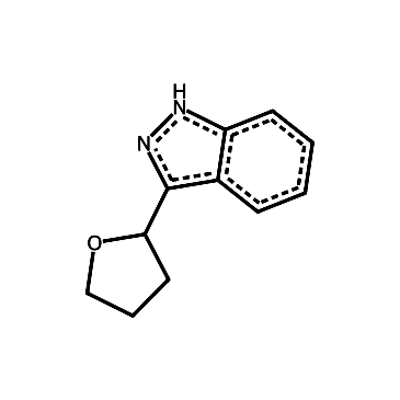 c1ccc2c(C3CCCO3)n[nH]c2c1